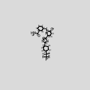 CNC(=O)c1cccc(Cn2nc(-c3nc(-c4ccc(C(C)(C)C(F)(F)F)cc4)no3)ccc2=O)c1